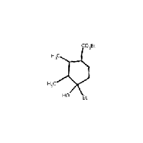 CCOC(=O)C1CCC(O)(CC)C(C)C1C